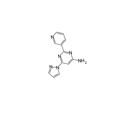 Nc1cc(-n2cccn2)nc(-c2cccnc2)n1